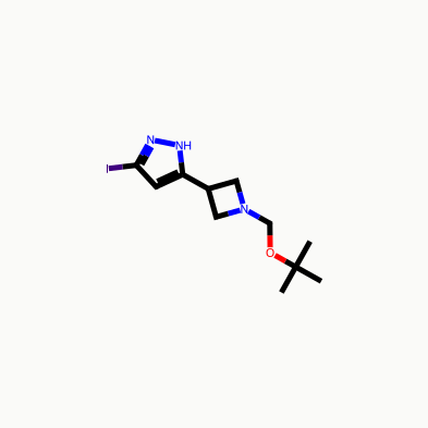 CC(C)(C)OCN1CC(c2cc(I)n[nH]2)C1